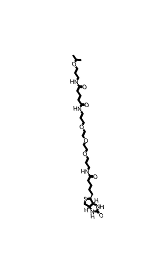 CC(C)OCCCNC(=O)CCCC(=O)NCCCOCCOCCOCCCNC(=O)CCCC[C@@H]1SC[C@@H]2NC(=O)N[C@@H]21